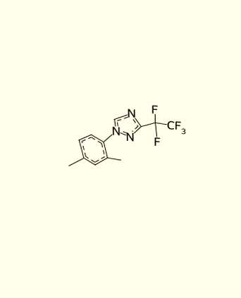 Cc1ccc(-n2cnc(C(F)(F)C(F)(F)F)n2)c(C)c1